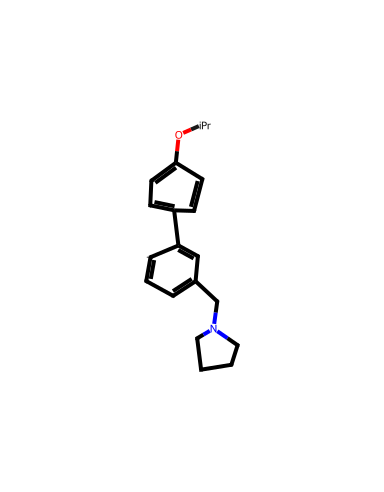 CC(C)Oc1ccc(-c2[c]ccc(CN3CCCC3)c2)cc1